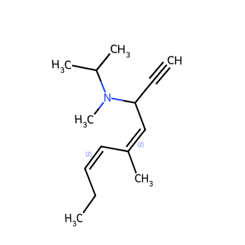 C#CC(/C=C(C)\C=C/CC)N(C)C(C)C